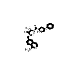 C[C@H](NC(=O)[C@H]1C[C@@H](c2ccccc2)CN1)C(=O)NCc1ccc2c(N)nccc2c1